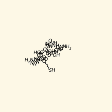 C=Nc1c(N)ncnc1N(C)[C@H]1CC(OP(=O)(O)OC[C@H]2O[C@@H](n3cnc4c(=O)[nH]c(N)nc43)CC2OP(=O)(O)OC[C@H]2O[C@@H](n3ccc(N)nc3=O)CC2O)[C@@H](COP(=O)(O)OCCCCCCS)O1